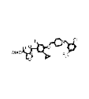 COC(=O)C1COCN1C(=O)c1cc(C2CC2)c(OCC2CCN(Cc3cc(C(F)(F)F)ccc3Cl)CC2)cc1F